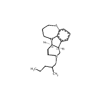 CCCC(C)CN1CC[C@@H]2[C@H](C1)c1cccc3c1N2CCCS3